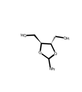 CCCC1O[C@@H](CO)[C@H](CO)O1